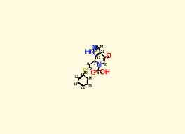 O=C1CN(C(=O)O)C(CCSc2ccccc2)c2[nH]ncc21